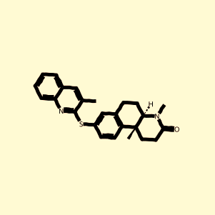 Cc1cc2ccccc2nc1Sc1ccc2c(c1)CC[C@H]1N(C)C(=O)CC[C@]21C